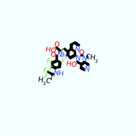 CC[C@@H](Nc1cc(F)c(C(=O)N[C@@H](Cc2ccc(N3C(=O)N(C)c4cnccc4C3O)c3ncccc23)C(=O)O)c(F)c1)C(F)(F)F